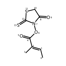 CC=C(C)C(=O)ON1C(=O)CSC1=S